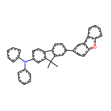 CC1(C)c2cc(-c3ccc4oc5ccccc5c4c3)ccc2-c2ccc(N(c3ccccc3)c3ccccc3)cc21